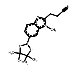 Cn1c(CCC#N)nc2ccc(B3OC(C)(C)C(C)(C)O3)cc21